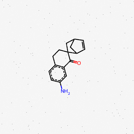 Nc1ccc2c(c1)C(=O)C1(CC2)CC2C=CC1C2